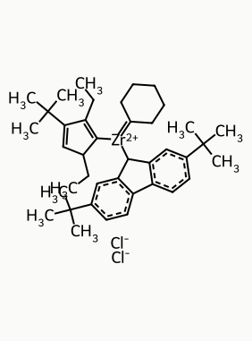 CCC1=[C]([Zr+2](=[C]2CCCCC2)[CH]2c3cc(C(C)(C)C)ccc3-c3ccc(C(C)(C)C)cc32)C(CC)C=C1C(C)(C)C.[Cl-].[Cl-]